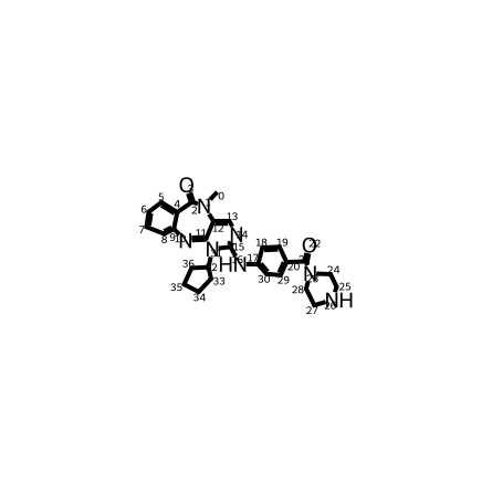 CN1C(=O)c2ccccc2N=C2C1=CN=C(Nc1ccc(C(=O)N3CCNCC3)cc1)N2C1CCCC1